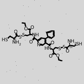 CCOC(=O)C(CSSC(=O)[C@@H](N)CS)NC(=O)c1cc(-c2ccccc2)c(C(=O)NC(CSSC(=O)[C@@H](N)CS)C(=O)OCC)cn1